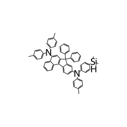 Cc1ccc(N(c2ccc([SiH](C)C)cc2)c2ccc3c(c2)C(c2ccccc2)(c2ccccc2)c2cc(N(c4ccc(C)cc4)c4ccc(C)cc4)c4ccccc4c2-3)cc1